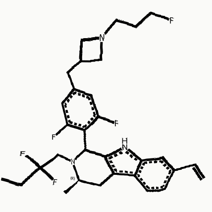 C=Cc1ccc2c3c([nH]c2c1)C(c1c(F)cc(CC2CN(CCCF)C2)cc1F)N(CC(F)(F)CC)[C@H](C)C3